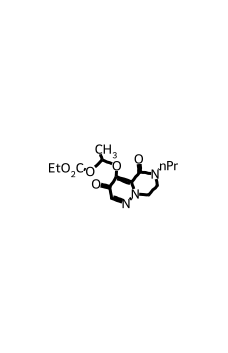 CCCN1CCn2ncc(=O)c(OC(C)OC(=O)OCC)c2C1=O